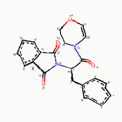 O=C([C@@H](Cc1ccccc1)N1C(=O)c2ccccc2C1=O)N1C=COCC1